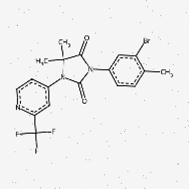 Cc1ccc(N2C(=O)N(c3ccnc(C(F)(F)F)c3)C(C)(C)C2=O)cc1Br